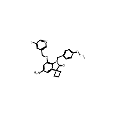 COc1ccc(CN2C(=O)C3(CCC3)c3cc(N)cc(OCc4cncc(F)c4)c32)cc1